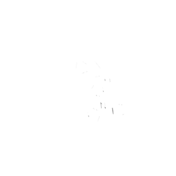 Cc1cccc(N(c2ccccc2)c2ccc3c(c2)oc2ccc4ccccc4c23)c1